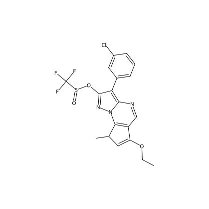 CCOC1=CC(C)c2c1cnc1c(-c3cccc(Cl)c3)c(OS(=O)C(F)(F)F)nn21